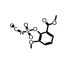 COC(=O)c1cccc(OC)c1OS(=O)(=O)N=C=O